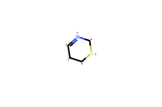 [CH]1CC=NCS1